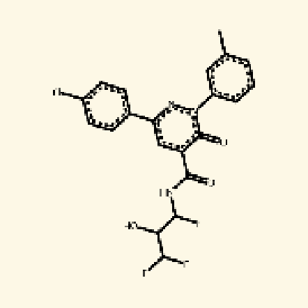 Cc1cccc(-n2nc(-c3ccc(Cl)cc3)cc(C(=O)NC(F)C(O)C(F)F)c2=O)c1